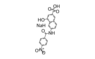 O=C(Nc1ccc2cc(S(=O)(=O)O)cc(O)c2c1)c1ccc([N+](=O)[O-])cc1.[NaH]